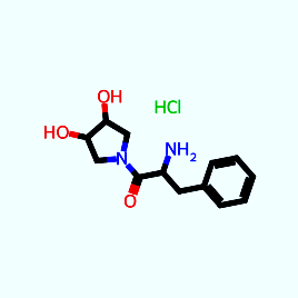 Cl.NC(Cc1ccccc1)C(=O)N1CC(O)C(O)C1